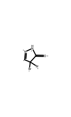 O=C1NN=CC1(Br)Br